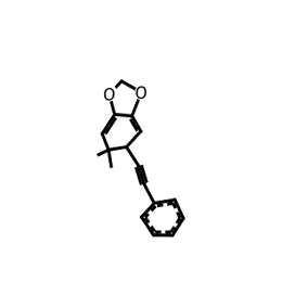 CC1(C)C=C2OCOC2=CC1C#Cc1ccccc1